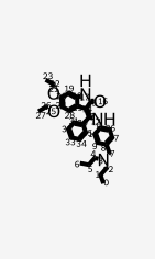 CCCN(CCC)Cc1ccc(N/C(=C2\C(=O)Nc3cc(OCC)c(OCC)cc32)c2ccccc2)cc1